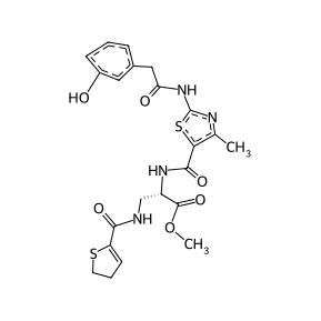 COC(=O)[C@H](CNC(=O)C1=CCCS1)NC(=O)c1sc(NC(=O)Cc2cccc(O)c2)nc1C